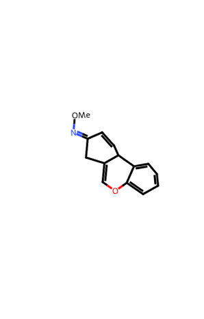 CON=C1C=CC2C(=COc3ccccc32)C1